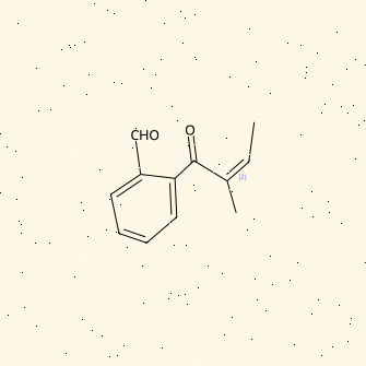 C/C=C(/C)C(=O)c1ccccc1C=O